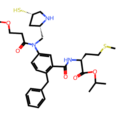 COCCC(=O)N(C[C@@H]1C[C@H](S)CN1)c1ccc(Cc2ccccc2)c(C(=O)N[C@@H](CCSC)C(=O)OC(C)C)c1